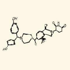 O=C1CCC(N2Cc3c(ccc(C(=O)N4CCN(C(c5ccc(O)cc5)c5ccc(O)cc5)CC4)c3F)C2=O)C(=O)N1